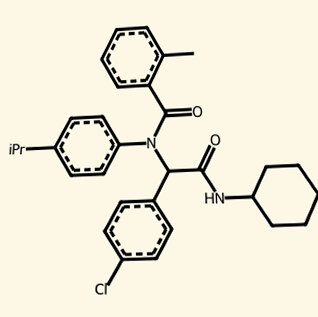 Cc1ccccc1C(=O)N(c1ccc(C(C)C)cc1)C(C(=O)NC1CCCCC1)c1ccc(Cl)cc1